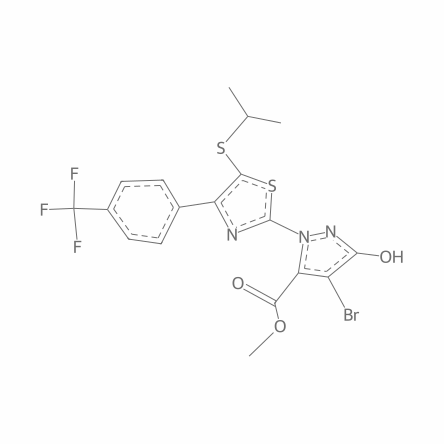 COC(=O)c1c(Br)c(O)nn1-c1nc(-c2ccc(C(F)(F)F)cc2)c(SC(C)C)s1